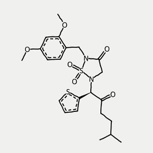 COc1ccc(CN2C(=O)CN([C@@H](C(=O)CCC(C)C)c3cccs3)S2(=O)=O)c(OC)c1